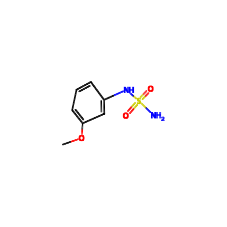 COc1cccc(NS(N)(=O)=O)c1